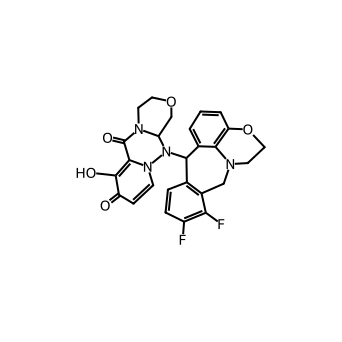 O=C1c2c(O)c(=O)ccn2N(C2c3ccc(F)c(F)c3CN3CCOc4cccc2c43)C2COCCN12